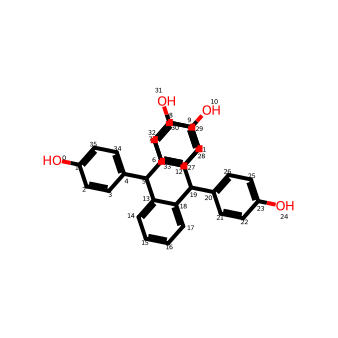 Oc1ccc(C(c2ccc(O)cc2)c2ccccc2C(c2ccc(O)cc2)c2ccc(O)cc2)cc1